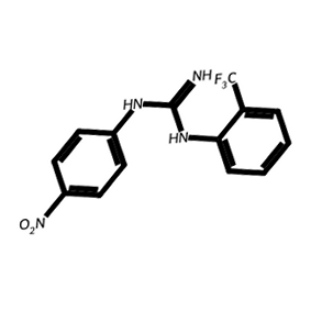 N=C(Nc1ccc([N+](=O)[O-])cc1)Nc1ccccc1C(F)(F)F